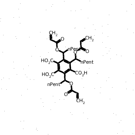 C=CC(=O)OC(CCCCC)c1c(C(=O)O)c(C(=O)O)c(C(CCCCC)OC(=O)C=C)c(C(CCCCC)OC(=O)C=C)c1C(=O)O